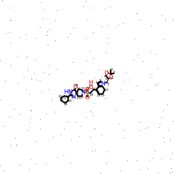 CC1(C)OC[C@H](Cn2ccc3c2CCC=C3C(O)CS(=O)(=O)N2CCC3(CC2)N=C(C2CCCCC2)NC3=O)O1